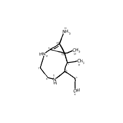 CC1C(CO)NCCNC2=C(N)C21C